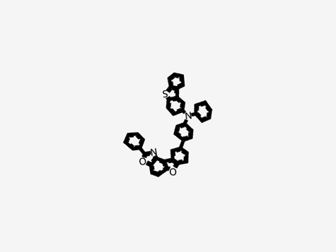 c1ccc(-c2nc3c(ccc4oc5ccc(-c6ccc(N(c7ccccc7)c7ccc8sc9ccccc9c8c7)cc6)cc5c43)o2)cc1